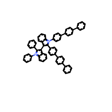 c1ccc(-c2ccc(-c3ccc(-c4c(-c5c(-c6ccccc6)n(-c6ccccc6)c6ccccc56)c5ccccc5n4-c4ccc(-c5ccc(-c6ccccc6)cc5)cc4)cc3)cc2)cc1